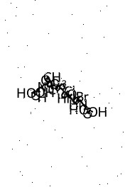 COc1nc(O[C@H]2CCc3c(-c4cccc(C(=O)Nc5ccc(CNCC(O)CC(=O)O)c(Br)c5)c4Cl)cccc32)c(Cl)cc1CNCC(O)CC(=O)O